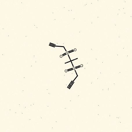 C#CCS(=O)(=O)C(C)(C)S(=O)(=O)CC#C